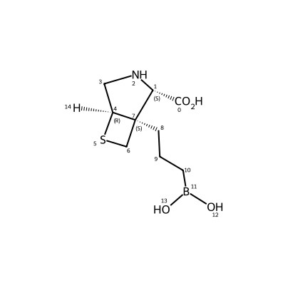 O=C(O)[C@H]1NC[C@@H]2SC[C@@]21CCCB(O)O